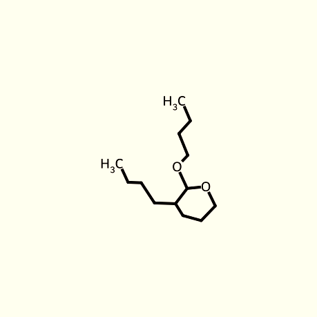 CCCCOC1OCCCC1CCCC